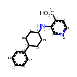 O=C(O)c1ccncc1NC1CCC(c2ccccc2)CC1